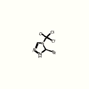 ClC(Cl)(Cl)N1C=NNC1Br